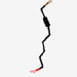 OCCCCCC#CCBr